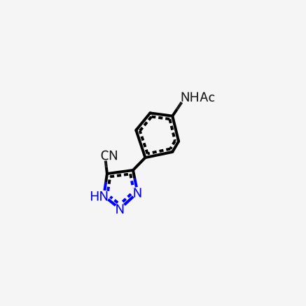 CC(=O)Nc1ccc(-c2nn[nH]c2C#N)cc1